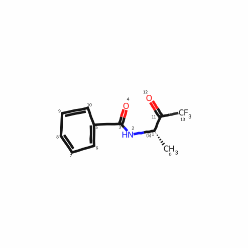 C[C@H](NC(=O)c1ccccc1)C(=O)C(F)(F)F